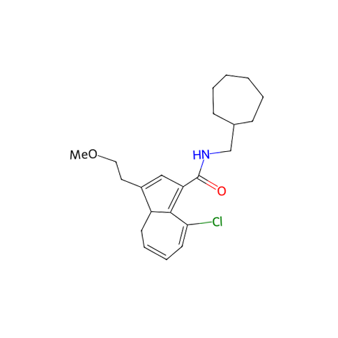 COCCC1=CC(C(=O)NCC2CCCCCC2)=C2C(Cl)=CC=CCC12